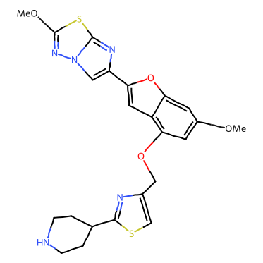 COc1cc(OCc2csc(C3CCNCC3)n2)c2cc(-c3cn4nc(OC)sc4n3)oc2c1